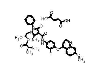 COc1ccc2c(Oc3ccc(NC(=O)c4c(C)n(C[C@@H](C)OC(=O)[C@H](C)N)n(-c5ccccc5)c4=O)cc3F)ccnc2c1.O=C(O)C=CC(=O)O